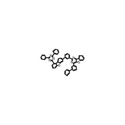 c1ccc(-c2cccc(-c3nc(-c4cccc(-c5ccc6c(c5)sc5cccc(-c7nc(-c8ccccc8)nc(-c8ccccc8)n7)c56)c4)nc4c3sc3ccccc34)c2)cc1